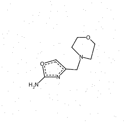 Nc1nc(CN2CCOCC2)co1